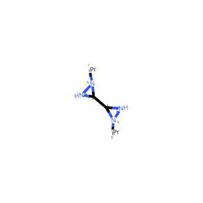 CC(C)N1NC1C1NN1C(C)C